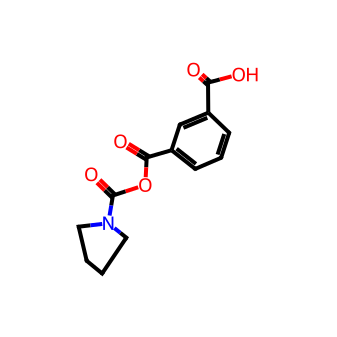 O=C(O)c1cccc(C(=O)OC(=O)N2CCCC2)c1